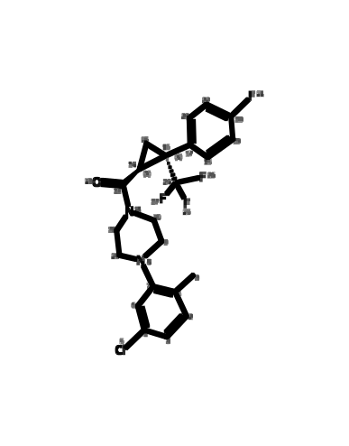 Cc1ccc(Cl)cc1N1CCN(C(=O)[C@H]2C[C@]2(c2ccc(F)cc2)C(F)(F)F)CC1